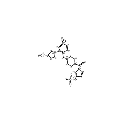 CS(=O)(=O)Nc1ccn(C(=O)N2CCN(Cc3ccc(C(F)(F)F)cc3N3CCC(C(=O)O)C3)CC2)n1